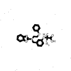 CC(C)(Oc1cccc(CN(CCOc2ccccc2)c2nc3ccccc3o2)c1)C(=O)O